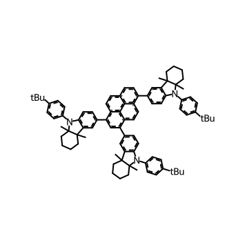 CC(C)(C)c1ccc(N2c3ccc(-c4ccc5ccc6c(-c7ccc8c(c7)C7(C)CCCCC7(C)N8c7ccc(C(C)(C)C)cc7)cc(-c7ccc8c(c7)C7(C)CCCCC7(C)N8c7ccc(C(C)(C)C)cc7)c7ccc4c5c67)cc3C3(C)CCCCC23C)cc1